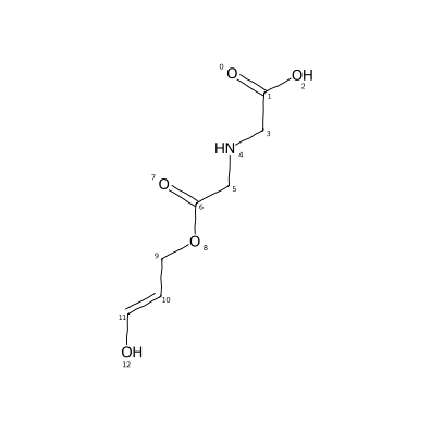 O=C(O)CNCC(=O)OCC=CO